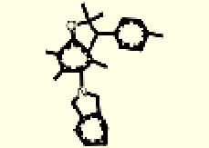 Cc1ccc(C2c3c(C)c(N4Cc5ccccc5C4)c(C)c(C)c3OC2(C)C)cc1